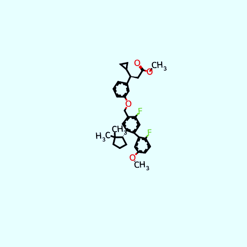 COC(=O)C[C@@H](c1cccc(OCc2cc([C@@H]3CCCC3(C)C)c(-c3cc(OC)ccc3F)cc2F)c1)C1CC1